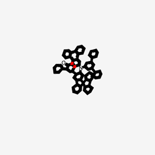 c1ccc(-c2cc(-c3ccccc3)cc(N(c3ccc4c5ccccc5c5ccccc5c4c3)c3cc4c(cc3-c3ccc5oc6ccccc6c5c3)-c3ccccc3C43c4ccccc4-c4ccccc43)c2)cc1